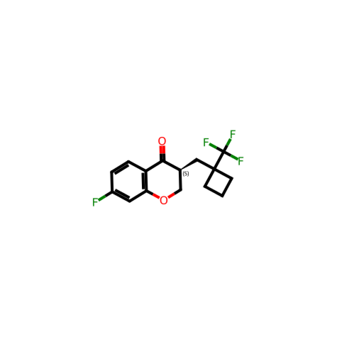 O=C1c2ccc(F)cc2OC[C@@H]1CC1(C(F)(F)F)CCC1